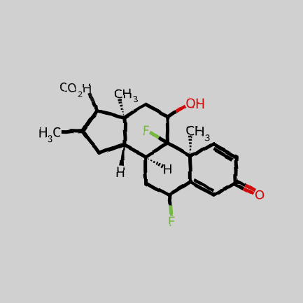 CC1C[C@H]2[C@@H]3CC(F)C4=CC(=O)C=C[C@]4(C)C3(F)C(O)C[C@]2(C)C1C(=O)O